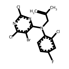 C=C(C)CN(c1ccc(F)cc1Cl)c1nc(Cl)nc(Cl)c1Br